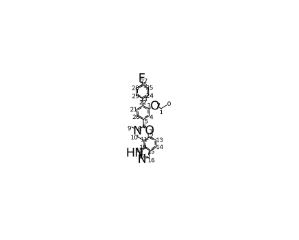 CCOc1cc(C(=O)N(C)Cc2cccc3cn[nH]c23)ccc1-c1ccc(F)cc1